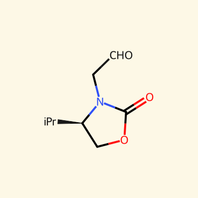 CC(C)[C@@H]1COC(=O)N1CC=O